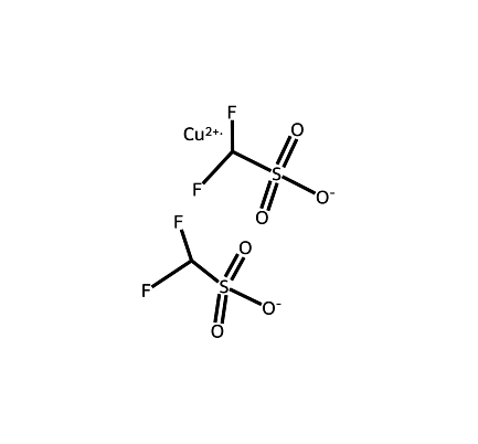 O=S(=O)([O-])C(F)F.O=S(=O)([O-])C(F)F.[Cu+2]